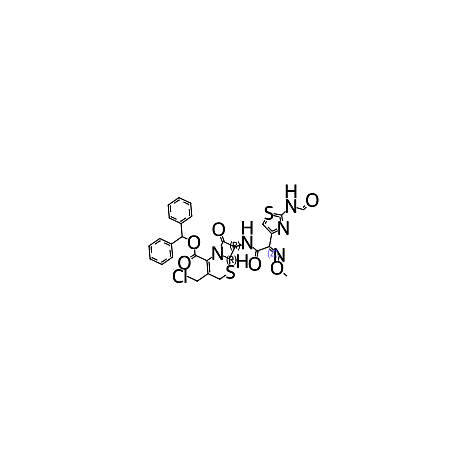 CO/N=C(\C(=O)N[C@@H]1C(=O)N2C(C(=O)OC(c3ccccc3)c3ccccc3)=C(CCl)CS[C@H]12)c1csc(NC=O)n1